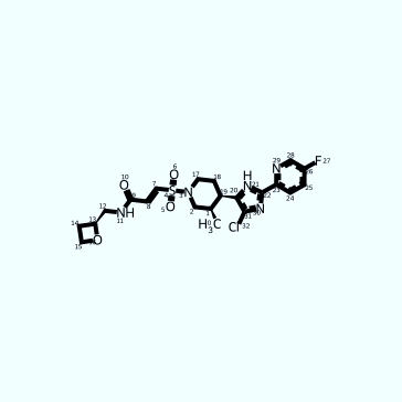 C[C@H]1CN(S(=O)(=O)C=CC(=O)NC[C@@H]2CCO2)CC[C@H]1c1[nH]c(-c2ccc(F)cn2)nc1Cl